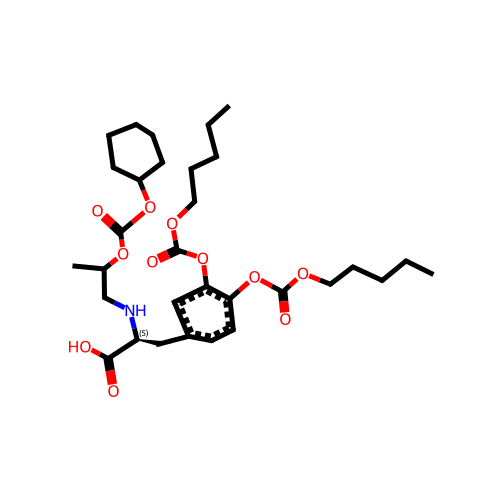 CCCCCOC(=O)Oc1ccc(C[C@H](NCC(C)OC(=O)OC2CCCCC2)C(=O)O)cc1OC(=O)OCCCCC